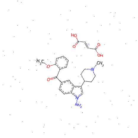 COc1ccccc1C(=O)c1ccc2c(c1)c(C1CCN(C)CC1)cn2N.O=C(O)/C=C/C(=O)O